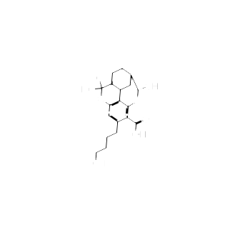 CCCCCc1cc2c3c(c1C(=O)O)O[C@H](C)C1CCC(C3C1)C(C)(C)O2